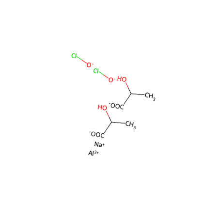 CC(O)C(=O)[O-].CC(O)C(=O)[O-].[Al+3].[Na+].[O-]Cl.[O-]Cl